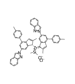 CC1=Cc2c(-c3ccc(C)cc3)cc(-n3cc4ccccc4n3)cc2[C@@H]1[Zr+2]([C@H]1C(C)=Cc2c(-c3ccc(C)cc3)cc(-n3cc4ccccc4n3)cc21)=[Si](C)C.[Cl-].[Cl-]